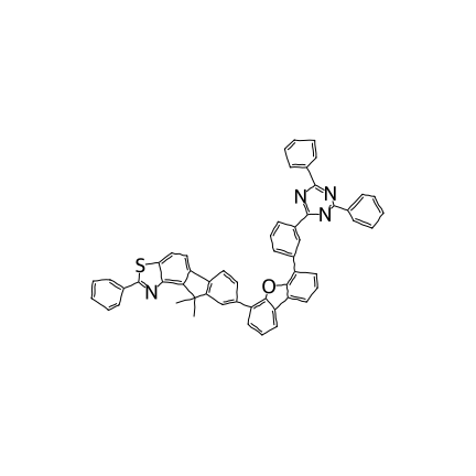 CC1(C)c2cc(-c3cccc4c3oc3c(-c5cccc(-c6nc(-c7ccccc7)nc(-c7ccccc7)n6)c5)cccc34)ccc2-c2ccc3sc(-c4ccccc4)nc3c21